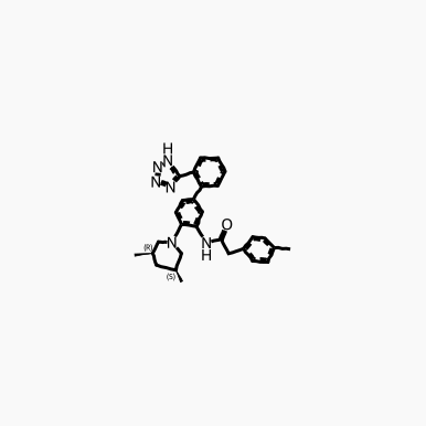 Cc1ccc(CC(=O)Nc2cc(-c3ccccc3-c3nnn[nH]3)ccc2N2C[C@H](C)C[C@H](C)C2)cc1